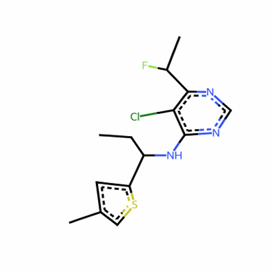 CCC(Nc1ncnc(C(C)F)c1Cl)c1cc(C)cs1